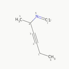 CCC#CC(C)N=[C:1]